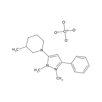 CC1CCCN(c2cc(-c3ccccc3)[n+](C)n2C)C1.[O-][Cl+3]([O-])([O-])[O-]